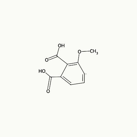 COc1[c]ccc(C(=O)O)c1C(=O)O